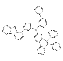 c1ccc(-c2cccc(N(c3cccc(-c4cccc5c4oc4ccccc45)c3)c3ccc4c(c3)c(-c3ccccc3)c(-c3ccccc3)c3ccccc34)c2)cc1